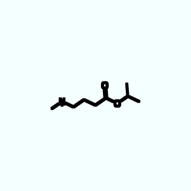 C[N]CCCC(=O)OC(C)C